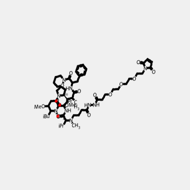 CCC(C)C(C(CC(=O)N1CCC[C@H]1C(OC)C(C)C(=O)NC(Cc1ccccc1)C(=O)N1CCCCO1)OC)N(C)C(=O)C(NC(=O)C(C(C)C)N(C)CCCC(=O)NNC(=O)CCOCCOCCOCCN1C(=O)C=CC1=O)C(C)C